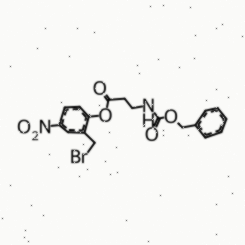 O=C(CCNC(=O)OCc1ccccc1)Oc1ccc([N+](=O)[O-])cc1CBr